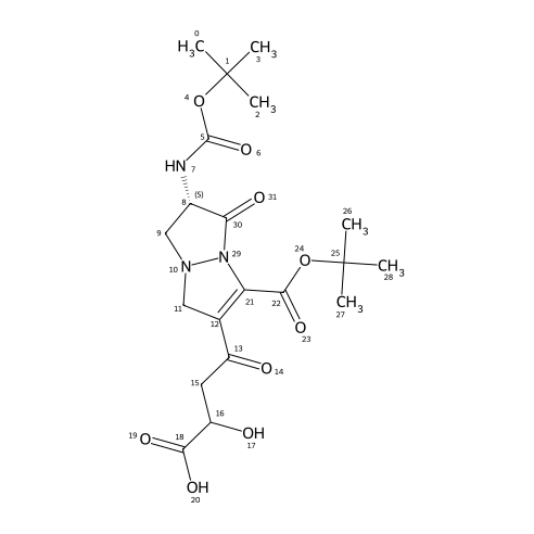 CC(C)(C)OC(=O)N[C@H]1CN2CC(C(=O)CC(O)C(=O)O)=C(C(=O)OC(C)(C)C)N2C1=O